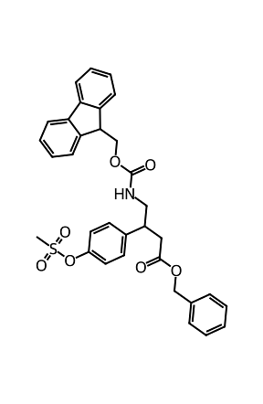 CS(=O)(=O)Oc1ccc(C(CNC(=O)OCC2c3ccccc3-c3ccccc32)CC(=O)OCc2ccccc2)cc1